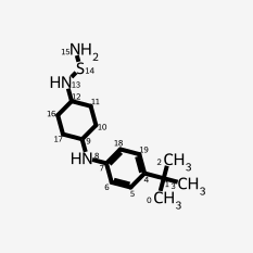 CC(C)(C)c1ccc(NC2CCC(NSN)CC2)cc1